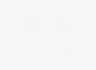 O=C(O)CCCCC(CC[S+]([O-])Cc1ccccc1)[S+]([O-])Cc1ccccc1